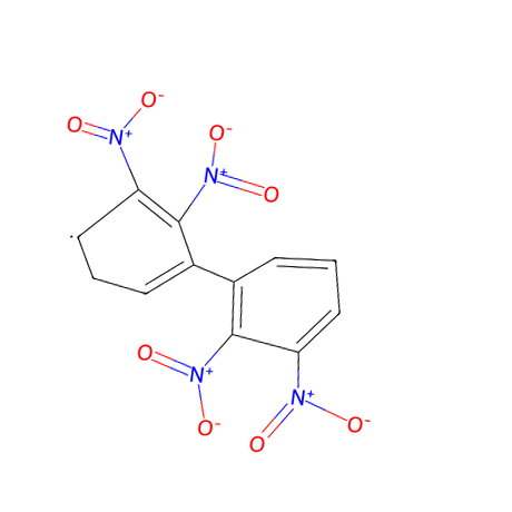 O=[N+]([O-])C1=C([N+](=O)[O-])C(c2cccc([N+](=O)[O-])c2[N+](=O)[O-])=CC[CH]1